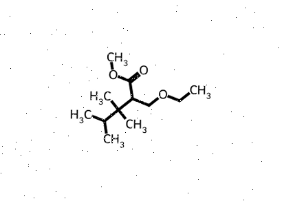 CCOCC(C(=O)OC)C(C)(C)C(C)C